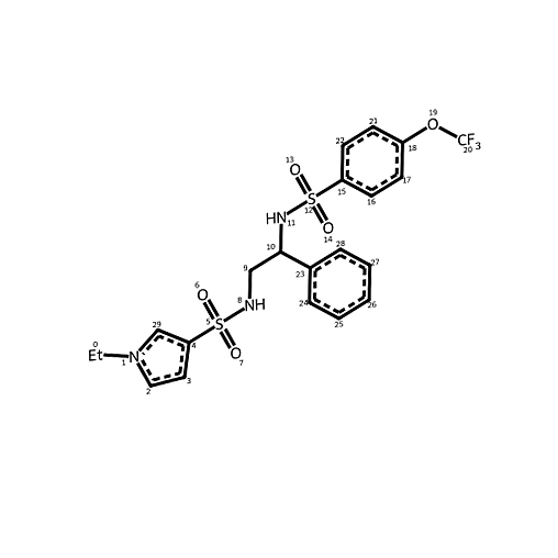 CCn1ccc(S(=O)(=O)NCC(NS(=O)(=O)c2ccc(OC(F)(F)F)cc2)c2ccccc2)c1